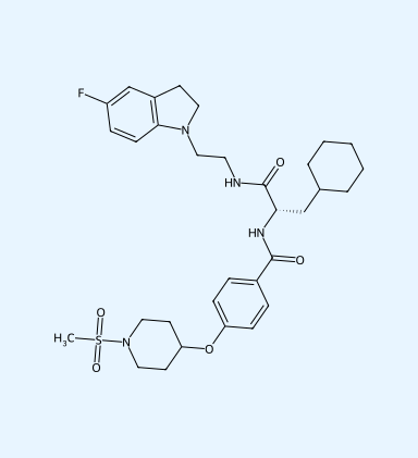 CS(=O)(=O)N1CCC(Oc2ccc(C(=O)N[C@@H](CC3CCCCC3)C(=O)NCCN3CCc4cc(F)ccc43)cc2)CC1